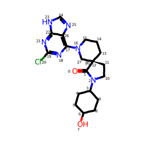 O=C1N(C2CCC(O)CC2)CC[C@@]12CCCN(c1nc(Cl)nc3[nH]cnc13)C2